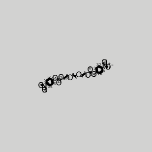 O=C(OCCOCCOCCOC(=O)Oc1ccc([N+](=O)[O-])cc1)Oc1ccc([N+](=O)[O-])cc1